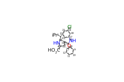 CC(C)C[C@@H]1N[C@H](C(=O)O)[C@@H](c2ccccc2)[C@]12C(=O)Nc1cc(Cl)ccc12